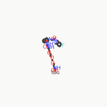 CC(C)(C)OC(=O)NCCOCCOCCOCCNC(=O)NC12CC3CC(CC(NCC(=O)N4Cc5ccc(F)cc5C4)(C3)C1)C2